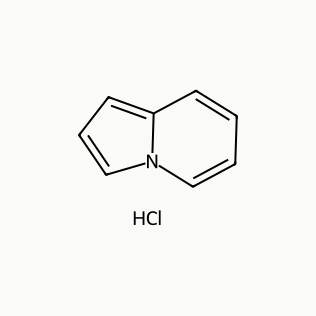 Cl.c1ccn2cccc2c1